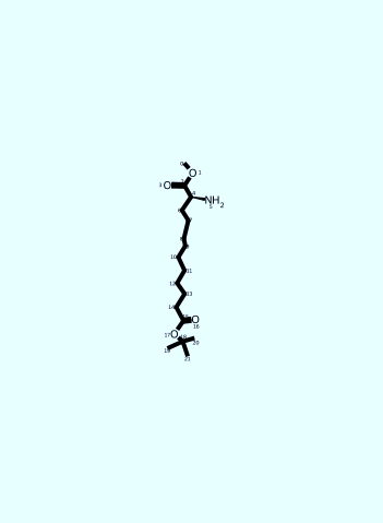 COC(=O)[C@@H](N)CCCCCCCCCC(=O)OC(C)(C)C